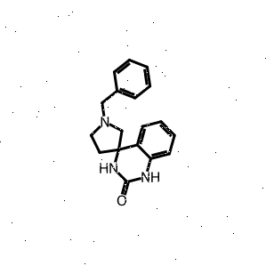 O=C1Nc2ccccc2C2(CCN(Cc3ccccc3)C2)N1